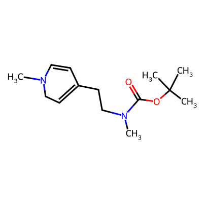 CN1C=CC(CCN(C)C(=O)OC(C)(C)C)=CC1